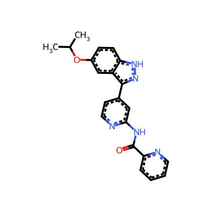 CC(C)Oc1ccc2[nH]nc(-c3ccnc(NC(=O)c4ccccn4)c3)c2c1